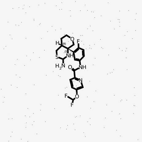 NC1N[C@@]2(c3cc(NC(=O)c4ccc(OC(F)F)cn4)ccc3F)COCC[C@H]2CS1